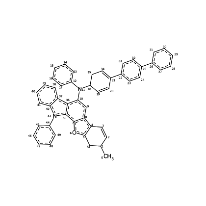 CC1C=Cc2c(oc3c2cc(N(c2ccccc2)C2C=CC(c4ccc(-c5ccccc5)cc4)=CC2)c2c4ccccc4n(-c4ccccc4)c32)C1